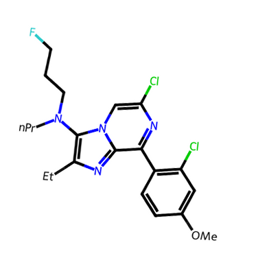 CCCN(CCCF)c1c(CC)nc2c(-c3ccc(OC)cc3Cl)nc(Cl)cn12